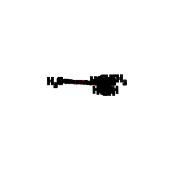 CCCCCCCCCCCCCCCCCCCCCCCCCC(=O)N[C@@H](CO[C@H]1OC(CSCC(=O)OCC)[C@H](O)C(O)C1O)[C@H](O)[C@@H](C)O